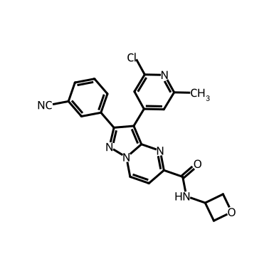 Cc1cc(-c2c(-c3cccc(C#N)c3)nn3ccc(C(=O)NC4COC4)nc23)cc(Cl)n1